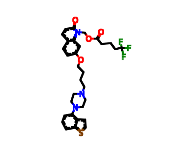 O=C(CCCC(F)(F)F)OCn1c(=O)ccc2ccc(OCCCCN3CCN(c4cccc5sccc45)CC3)cc21